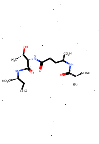 CC[C@H](C)[C@H](NC(C)=O)C(=O)NC(CCC(=O)N[C@H](C(=O)N[C@@H](CC=O)C(=O)O)[C@H](C)O)C(=O)O